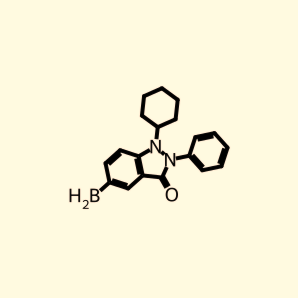 Bc1ccc2c(c1)c(=O)n(-c1ccccc1)n2C1CCCCC1